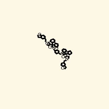 O=C(NCc1ccc(CNC(=O)C(c2ccccc2)(c2ccccc2)[C@@H]2CCN(CCc3ccc4c(c3)CCO4)C2)cc1)C(c1ccccc1)(c1ccccc1)C1CCN(CCc2ccc3c(c2)CCO3)C1